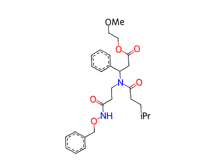 COCCOC(=O)CC(c1ccccc1)N(CCC(=O)NOCc1ccccc1)C(=O)CCC(C)C